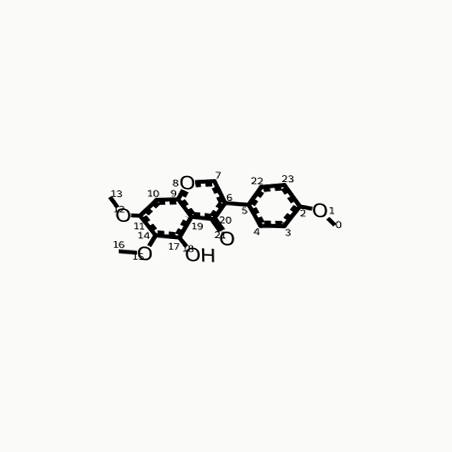 COc1ccc(-c2coc3cc(OC)c(OC)c(O)c3c2=O)cc1